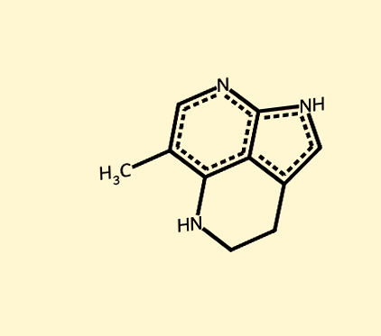 Cc1cnc2[nH]cc3c2c1NCC3